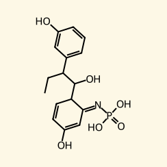 CCC(c1cccc(O)c1)C(O)C1C=CC(O)=C/C1=N\P(=O)(O)O